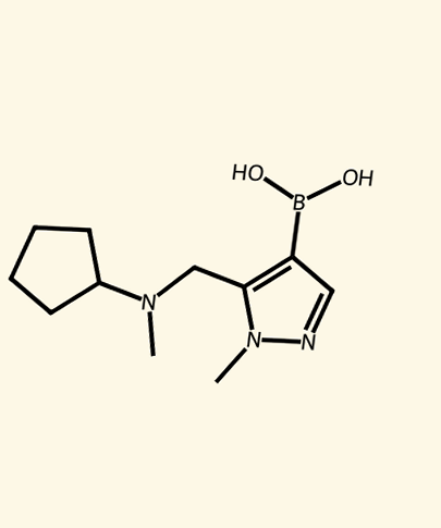 CN(Cc1c(B(O)O)cnn1C)C1CCCC1